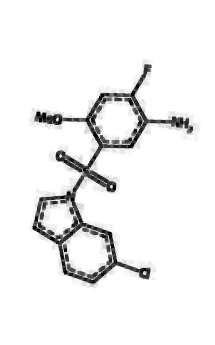 COc1cc(F)c(N)cc1S(=O)(=O)n1ccc2ccc(Cl)cc21